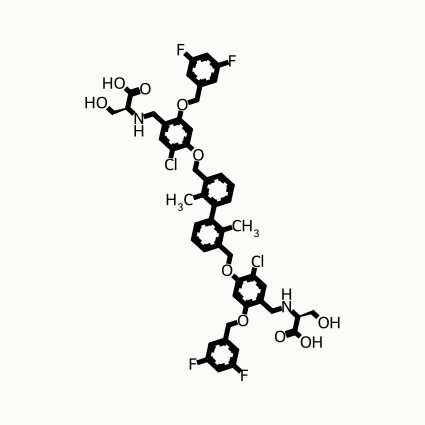 Cc1c(COc2cc(OCc3cc(F)cc(F)c3)c(CN[C@@H](CO)C(=O)O)cc2Cl)cccc1-c1cccc(COc2cc(OCc3cc(F)cc(F)c3)c(CN[C@@H](CO)C(=O)O)cc2Cl)c1C